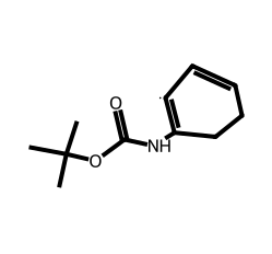 CC(C)(C)OC(=O)NC1=[C]C=CCC1